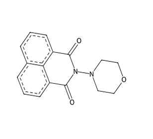 O=C1c2cccc3cccc(c23)C(=O)N1N1CCOCC1